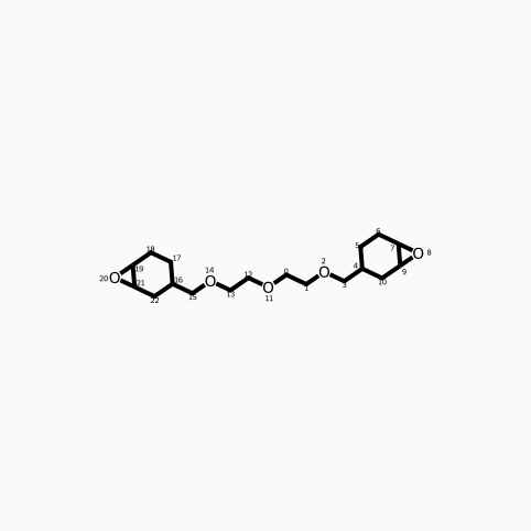 C(COCC1CCC2OC2C1)OCCOCC1CCC2OC2C1